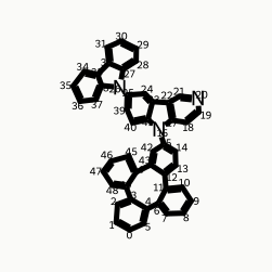 c1ccc2c(c1)-c1ccccc1-c1ccc(-n3c4ccncc4c4cc(-n5c6ccccc6c6ccccc65)ccc43)cc1-c1ccccc1-2